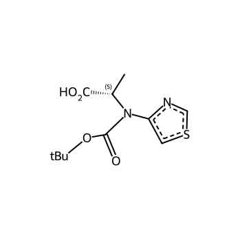 C[C@@H](C(=O)O)N(C(=O)OC(C)(C)C)c1cscn1